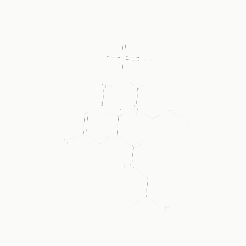 CC(O)CNC(=O)c1cc([N+](=O)[O-])cc([N+](=O)[O-])c1N(CCBr)C(C)OS(C)(=O)=O